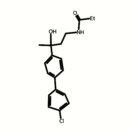 CCC(=O)NCCC(C)(O)c1ccc(-c2ccc(Cl)cc2)cc1